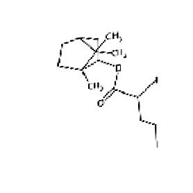 CC1(C)C2CCC1(C)C(OC(=O)C(I)CCI)C2